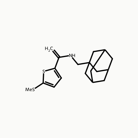 C=C(NCC12CC3CC(CC(C3)C1)C2)c1ccc(SC)s1